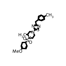 COC1=CCC(S(=O)(=O)N2CCN(c3nc(Cc4ccc(C)cc4)ns3)CC2C)C=C1